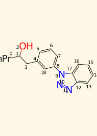 CCCC(O)Cc1cccc(-n2nnc3ccccc32)c1